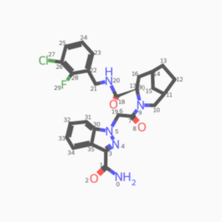 NC(=O)c1nn(CC(=O)N2CC3CCC(C3)C[C@@H]2C(=O)NCc2cccc(Cl)c2F)c2ccccc12